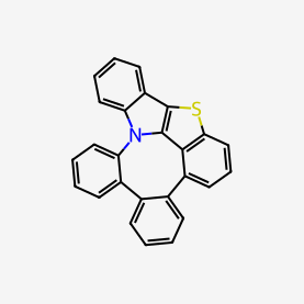 c1ccc2c(c1)c1cccc3sc4c5ccccc5n(c5ccccc25)c4c31